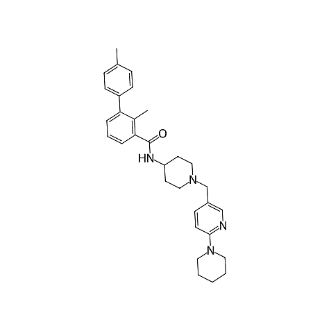 Cc1ccc(-c2cccc(C(=O)NC3CCN(Cc4ccc(N5CCCCC5)nc4)CC3)c2C)cc1